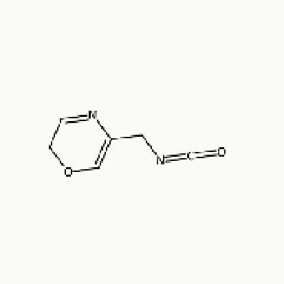 O=C=NCC1=COCC=N1